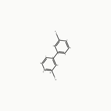 Ic1cccc(-c2ccnc(I)c2)c1